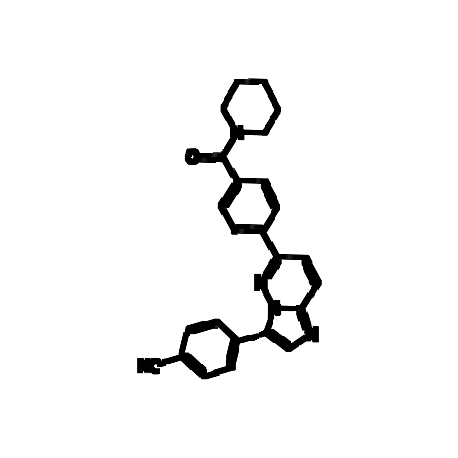 N#Cc1ccc(-c2cnc3ccc(-c4ccc(C(=O)N5CCCCC5)cc4)nn23)cc1